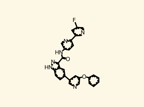 O=C(Nc1ccc(-c2cncc(F)c2)nc1)c1n[nH]c2ccc(-c3cncc(Oc4ccccc4)c3)cc12